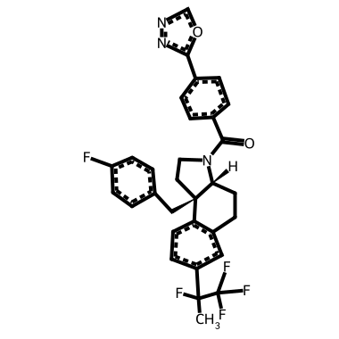 CC(F)(c1ccc2c(c1)CC[C@H]1N(C(=O)c3ccc(-c4nnco4)cc3)CC[C@@]21Cc1ccc(F)cc1)C(F)(F)F